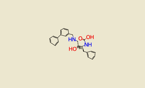 O=C(O)N[C@@H](Cc1ccccc1)[C@H](O)CNCc1cccc(-c2ccccc2)c1